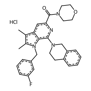 Cc1c(C)n(Cc2cccc(F)c2)c2c(N3CCc4ccccc4C3)nc(C(=O)N3CCOCC3)cc12.Cl